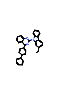 CCc1ccc2c3ccccc3n(-c3nc(-c4ccc(-c5ccccc5)cc4)c4ccccc4n3)c2c1